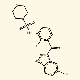 N#Cc1cnc2[nH]cc(C(=O)c3cccc(NS(=O)(=O)N4CCOCC4)c3F)c2c1